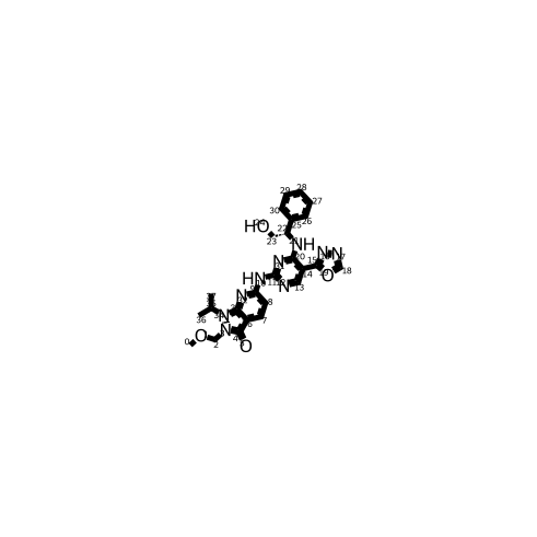 COCn1c(=O)c2ccc(Nc3ncc(-c4nnco4)c(N[C@H](CO)c4ccccc4)n3)nc2n1C(C)C